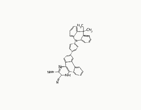 CC1(C)c2ccccc2N(c2ccc(-c3ccc4c5c(c6ccccc6c4c3)NC(C#N)C(C#N)=N5)cc2)c2ccccc21